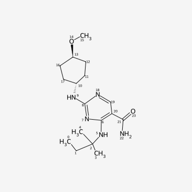 CCC(C)(C)Nc1nc(N[C@H]2CC[C@H](OC)CC2)ncc1C(N)=O